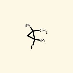 CC(C)C1(C)CC1(F)C(C)C